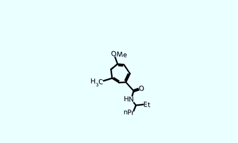 CCCC(CC)NC(=O)C1=CC=C(OC)CC(C)=C1